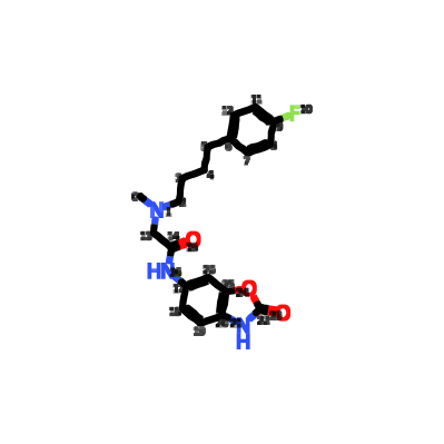 CN(CCCCc1ccc(F)cc1)CC(=O)Nc1ccc2[nH]c(=O)oc2c1